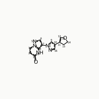 O=c1ccn2ncc(-n3cc(C4=COCC4)cn3)c2[nH]1